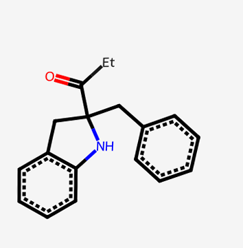 CCC(=O)C1(Cc2ccccc2)Cc2ccccc2N1